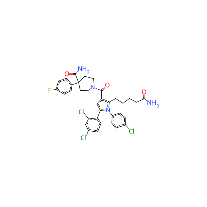 NC(=O)CCCCc1c(C(=O)N2CCC(C(N)=O)(c3ccc(F)cc3)CC2)cc(-c2ccc(Cl)cc2Cl)n1-c1ccc(Cl)cc1